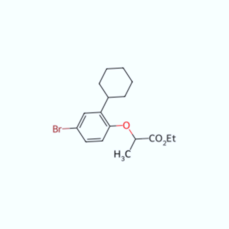 CCOC(=O)C(C)Oc1ccc(Br)cc1C1CCCCC1